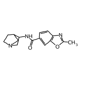 Cc1nc2ccc(C(=O)NC3CN4CCC3C4)cc2o1